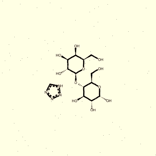 OC[C@H]1O[C@@H](O[C@H]2[C@H](O)[C@@H](O)[C@@H](O)O[C@@H]2CO)[C@H](O)[C@@H](O)[C@H]1O.c1nnn[nH]1